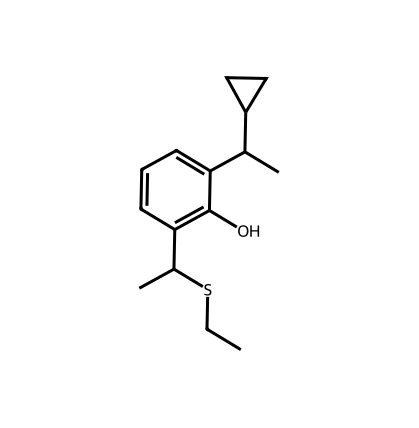 CCSC(C)c1cccc(C(C)C2CC2)c1O